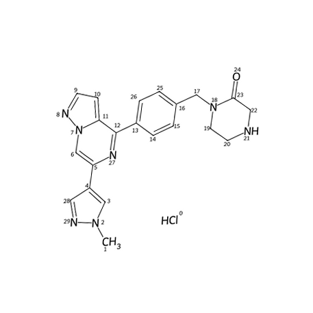 Cl.Cn1cc(-c2cn3nccc3c(-c3ccc(CN4CCNCC4=O)cc3)n2)cn1